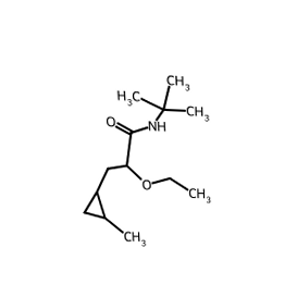 CCOC(CC1CC1C)C(=O)NC(C)(C)C